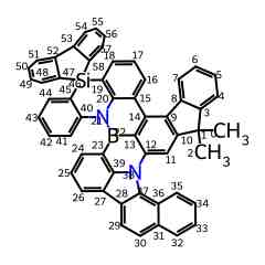 CC1(C)c2ccccc2-c2c1cc1c3c2-c2cccc4c2N(B3c2cccc3c5ccc6ccccc6c5n-1c23)c1ccccc1[Si]41c2ccccc2-c2ccccc21